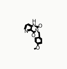 COc1ccc(Cn2c(=O)[nH]c3cccnc3c2=O)cc1